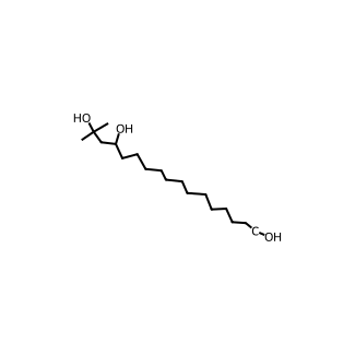 CC(C)(O)CC(O)CCCCCCCCCCCCCO